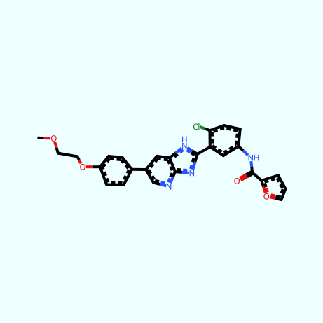 COCCOc1ccc(-c2cnc3nc(-c4cc(NC(=O)c5ccco5)ccc4Cl)[nH]c3c2)cc1